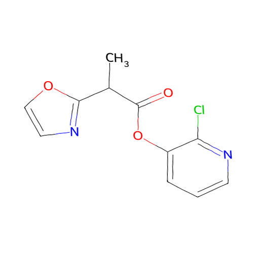 CC(C(=O)Oc1cccnc1Cl)c1ncco1